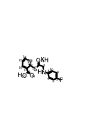 O=C(CNc1ccc(F)cc1)Sc1ncccc1C(=O)O.[KH]